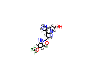 O=C(Nc1ccc(OC(F)(F)F)cc1Cl)c1cnc(N2CC[C@@H](O)C2)c(-c2cncnc2)c1